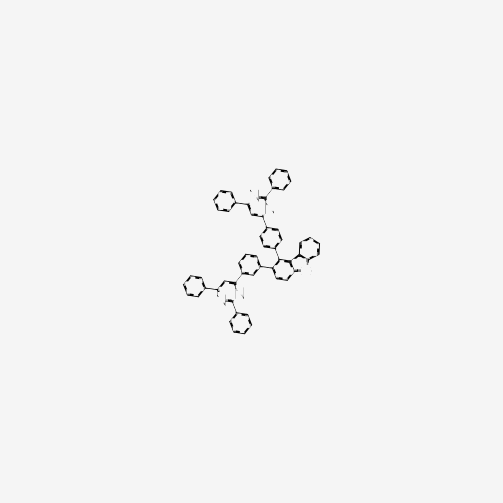 c1ccc(-c2cc(-c3ccc(-c4c(-c5cccc(-c6cc(-c7ccccc7)nc(-c7ccccc7)n6)c5)ccc5oc6ccccc6c45)cc3)nc(-c3ccccc3)n2)cc1